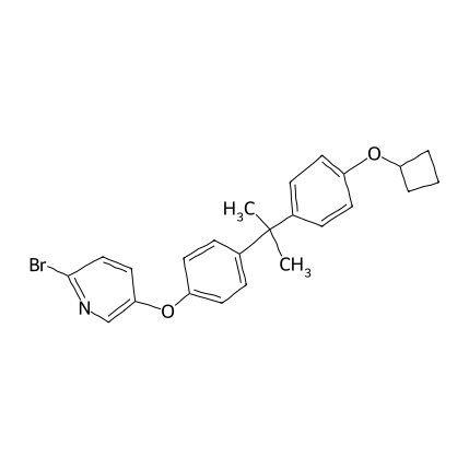 CC(C)(c1ccc(Oc2ccc(Br)nc2)cc1)c1ccc(OC2CCC2)cc1